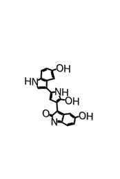 O=C1N=c2ccc(O)cc2=C1c1cc(-c2c[nH]c3ccc(O)cc23)[nH]c1O